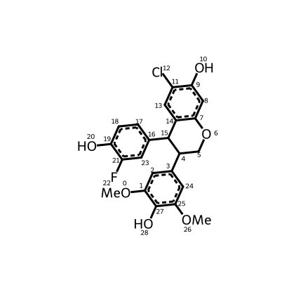 COc1cc(C2COc3cc(O)c(Cl)cc3C2c2ccc(O)c(F)c2)cc(OC)c1O